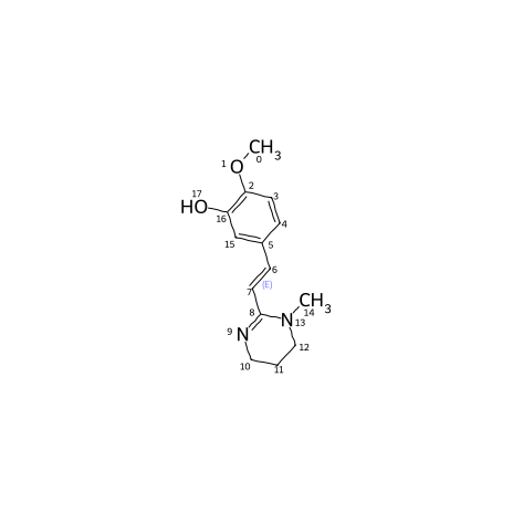 COc1ccc(/C=C/C2=NCCCN2C)cc1O